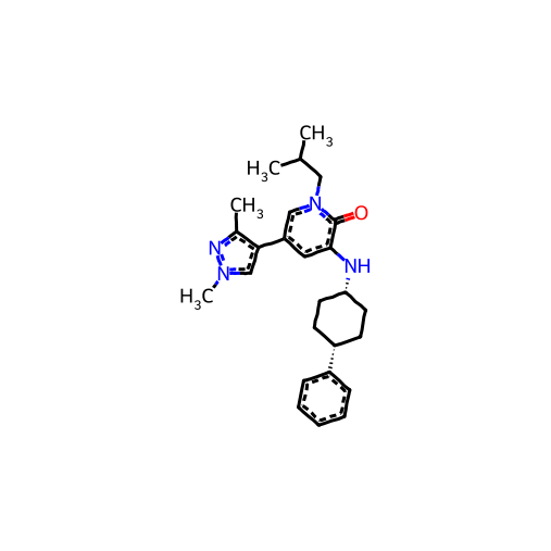 Cc1nn(C)cc1-c1cc(N[C@H]2CC[C@@H](c3ccccc3)CC2)c(=O)n(CC(C)C)c1